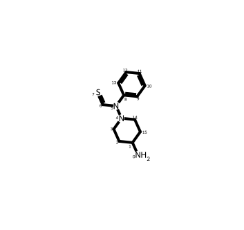 NC1CCN(N(C=S)c2ccccc2)CC1